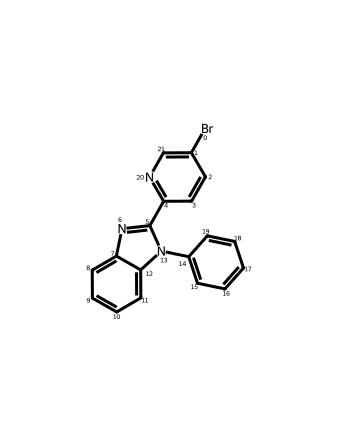 Brc1ccc(-c2nc3ccccc3n2-c2ccccc2)nc1